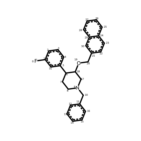 Fc1cccc(C2CCN(Cc3ccccc3)CC2OCc2ccc3ccccc3c2)c1